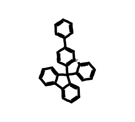 Brc1ccccc1C1(c2ccc(-c3ccccc3)cc2)c2ccccc2-c2ccccc21